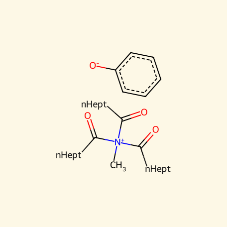 CCCCCCCC(=O)[N+](C)(C(=O)CCCCCCC)C(=O)CCCCCCC.[O-]c1ccccc1